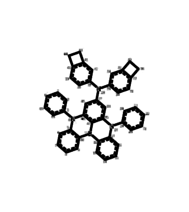 c1ccc(N2c3ccccc3B3c4ccccc4N(c4ccccc4)c4cc(N(c5ccc6c(c5)CC6)c5ccc6c(c5)CC6)cc2c43)cc1